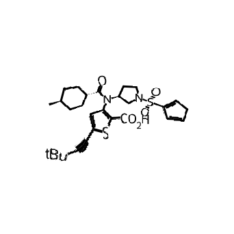 CC(C)(C)C#Cc1cc(N(C(=O)[C@H]2CC[C@H](C)CC2)[C@H]2CCN(S(=O)(=O)C3=CCC=C3)C2)c(C(=O)O)s1